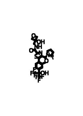 Cc1cc(C(O)(C(F)(F)F)C(F)(F)F)ccc1-c1sc(C(=O)NCC2(O)COC2)nc1C(=O)N1CCC[C@@H]1C